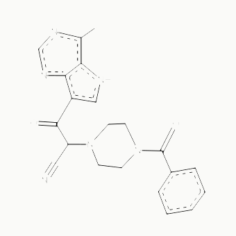 N#CC(C(=O)c1c[nH]c2c(Cl)ncnc12)N1CCN(C(=O)c2ccccc2)CC1